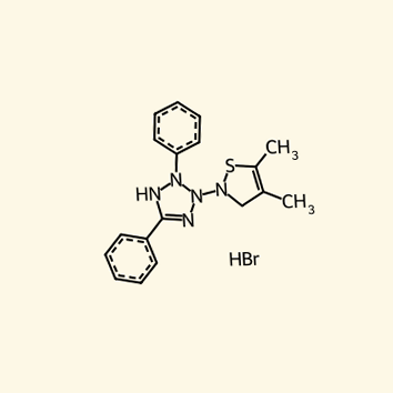 Br.CC1=C(C)SN(N2N=C(c3ccccc3)NN2c2ccccc2)C1